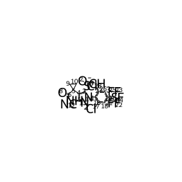 C[S+]([O-])c1c(C2(C(N)=O)CC2)c(C#N)nn1-c1c(Cl)cc(S(F)(F)(F)(F)F)cc1Cl